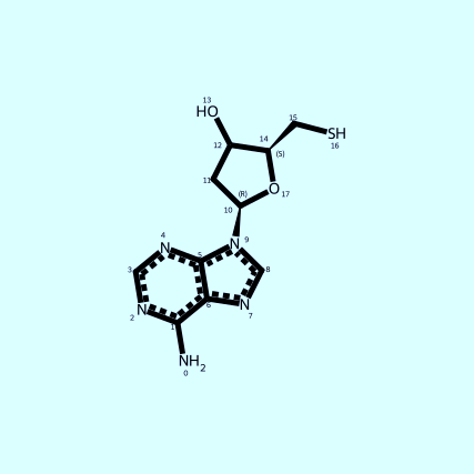 Nc1ncnc2c1ncn2[C@H]1CC(O)[C@@H](CS)O1